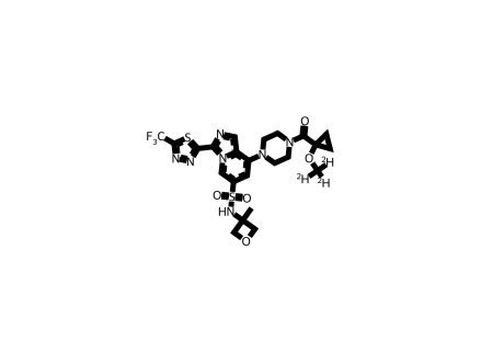 [2H]C([2H])([2H])OC1(C(=O)N2CCN(c3cc(S(=O)(=O)NC4(C)COC4)cn4c(-c5nnc(C(F)(F)F)s5)ncc34)CC2)CC1